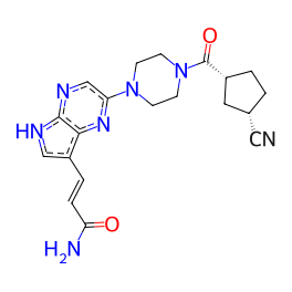 N#C[C@H]1CC[C@@H](C(=O)N2CCN(c3cnc4[nH]cc(/C=C/C(N)=O)c4n3)CC2)C1